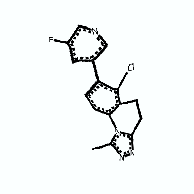 Cc1nnc2n1-c1ccc(-c3cncc(F)c3)c(Cl)c1CC2